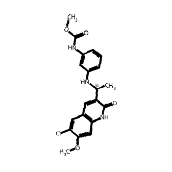 COC(=O)Nc1cccc(N[C@@H](C)c2cc3cc(Cl)c(OC)cc3[nH]c2=O)c1